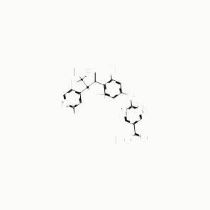 CC(c1ccc(Oc2ncc(C(=O)O)cn2)cc1Cl)C(O)(c1ccnc(Cl)c1)C(F)(F)F